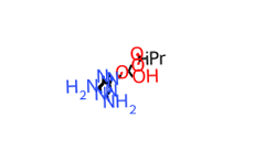 CC(C)C(=O)OCC(CO)OCn1cnc2c(N)nc(N)nc21